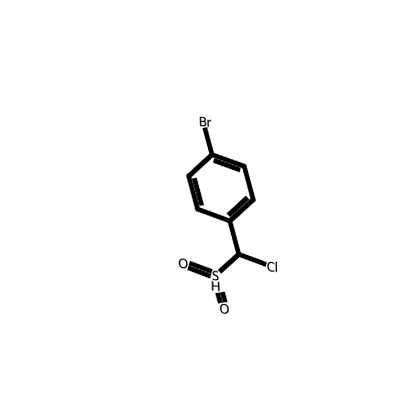 O=[SH](=O)C(Cl)c1ccc(Br)cc1